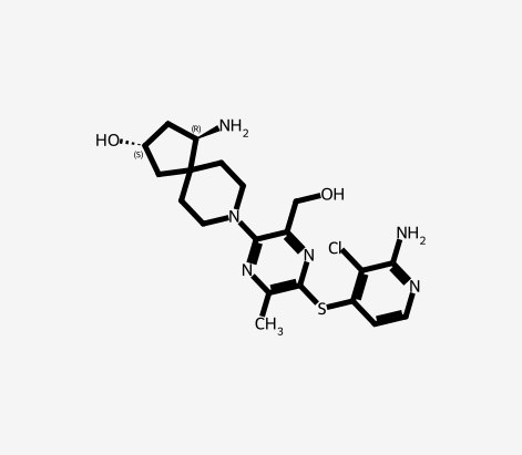 Cc1nc(N2CCC3(CC2)C[C@H](O)C[C@H]3N)c(CO)nc1Sc1ccnc(N)c1Cl